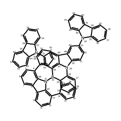 c1ccc(-c2cccc3c4cccc(-c5ccccc5)c4n(B4c5ccccc5-n5c6ccc(-n7c8ccccc8c8ccccc87)cc6c6cc(-n7c8ccccc8c8ccccc87)cc4c65)c23)cc1